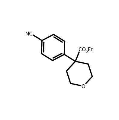 CCOC(=O)C1(c2ccc(C#N)cc2)CCOCC1